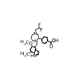 COc1cc(C)c2[nH]ccc2c1CN1CCCN(CC(F)F)CC1c1ccc(C(=O)O)cc1